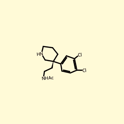 CC(=O)NCC[C@]1(c2ccc(Cl)c(Cl)c2)CCCNC1